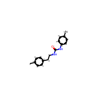 CC(=O)c1ccc(NC(=O)NCCc2ccc(C)cc2)cc1